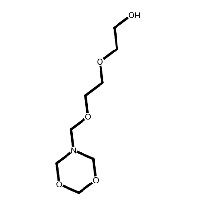 OCCOCCOCN1COCOC1